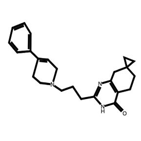 O=c1[nH]c(CCCN2CC=C(c3ccccc3)CC2)nc2c1CCC1(CC1)C2